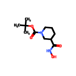 CC(C)(C)OC(=O)N1CCCC(C(=O)NO)C1